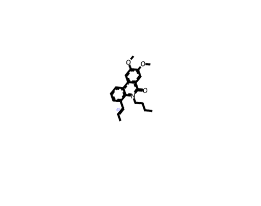 C/C=C/c1cccc2c3cc(OC)c(OC)cc3c(=O)n(CCCC)c12